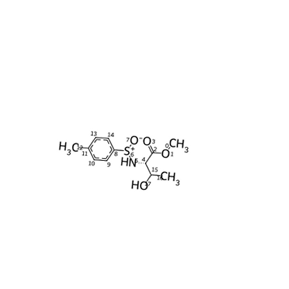 COC(=O)[C@@H](N[S+]([O-])c1ccc(C)cc1)C(C)O